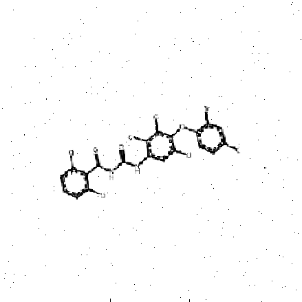 O=C(NC(=O)c1c(Cl)cccc1Cl)Nc1cc(Cl)c(Oc2ccc(Cl)cc2Br)c(Cl)c1Cl